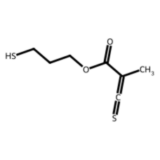 CC(=C=S)C(=O)OCCCS